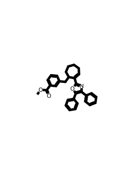 COC(=O)c1cccc(CC2CCCCC=C2c2nc(-c3ccccc3)c(-c3ccccc3)o2)c1